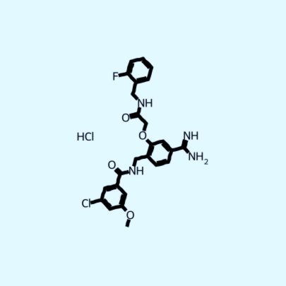 COc1cc(Cl)cc(C(=O)NCc2ccc(C(=N)N)cc2OCC(=O)NCc2ccccc2F)c1.Cl